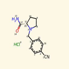 Cl.N#Cc1ccc(CN2CCC[C@H]2C(N)=O)cc1